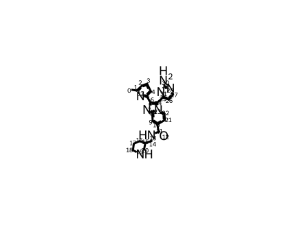 Cc1cccc(-c2nc3cc(C(=O)NCC4CCCNC4)ccn3c2-c2ccnc(N)n2)n1